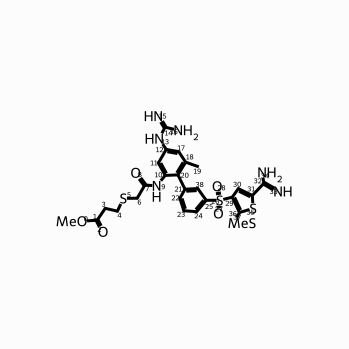 COC(=O)CCSCC(=O)Nc1cc(NC(=N)N)cc(C)c1-c1cccc(S(=O)(=O)c2cc(C(=N)N)sc2SC)c1